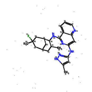 Cc1cc(Nc2cc3ncccc3c(NC3C(C)CC4CC3CC(C)(F)C4)n2)n[nH]1